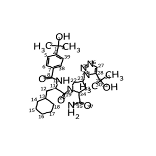 CC(C)(O)c1ccc(C(=O)N[C@H](CC2CCCCC2)C(=O)N2CC(n3nncc3C(C)(C)O)CC2C(N)=O)cc1